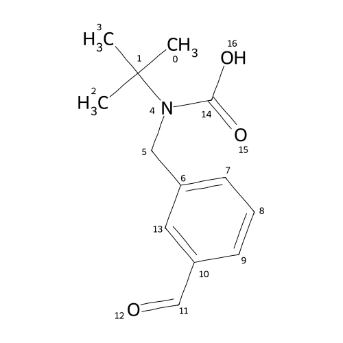 CC(C)(C)N(Cc1cccc(C=O)c1)C(=O)O